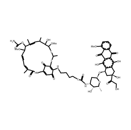 COc1cccc2c1C(=O)c1c(O)c3c(c(O)c1C2=O)C[C@](O)(C(=O)CO)C[C@H]3O[C@@H]1C[C@@H](NC(=O)CCCCCNC2=C3CC(C)CC(OC)C(O)C(C)C=C(C)C(OC(N)=O)C(OC)C=CC=C(C)C(=O)NC(=CC2=O)C3=O)[C@@H](O)[C@@H](C)O1